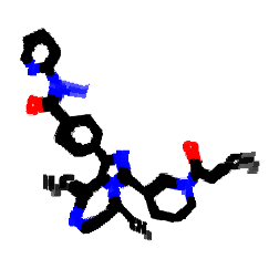 C=CC(=O)N1CCCC(c2nc(-c3ccc(C(=O)Nc4ccccn4)cc3)c3c(C)ncc(C)n23)C1